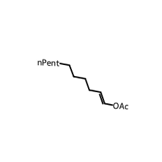 CCCCCCCCCC=COC(C)=O